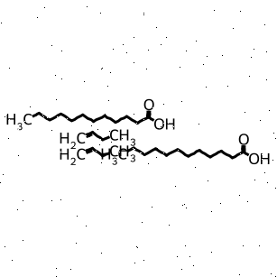 C=CCC.C=CCC.CCCCCCCCCCCC(=O)O.CCCCCCCCCCCC(=O)O